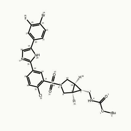 CC(C)(C)OC(=O)NC[C@@H]1[C@H]2CN(S(=O)(=O)c3cc(-c4ncc(-c5ccc(Br)c(F)c5)[nH]4)ccc3Cl)C[C@@H]12